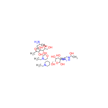 CC(=O)C(O)C(O)C(O)C(O)CO.CC(C)N.CCN1CCCCC1.CCN1CCOCC1.CCNC(C)O.N[C@H]1C(O)O[C@H](CO)[C@@H](O)[C@@H]1O